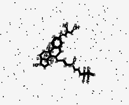 CC(F)(F)C(F)(F)CCC[S+]([O-])CCC[C@@H]1Cc2cc(OCC(O)CO)ccc2[C@H]2CC[C@]3(C)[C@@H](O)CC[C@H]3[C@H]12